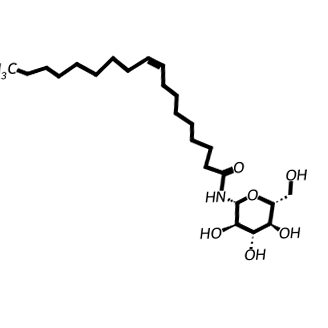 CCCCCCCC/C=C\CCCCCCCC(=O)N[C@@H]1O[C@H](CO)[C@@H](O)[C@H](O)[C@H]1O